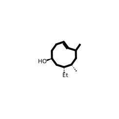 CC[C@@H]1C[C@@H](O)CC/C=C/C(C)C[C@@H]1C